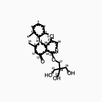 Cc1cccc(C)c1-n1c(C)cc(=O)c2c(OCC(CO)(CO)CO)ncc(Cl)c21